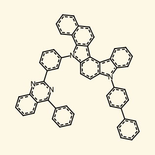 c1ccc(-c2ccc(-n3c4ccccc4c4c5c6ccc7ccccc7c6n(-c6cccc(-c7nc(-c8ccccc8)c8ccccc8n7)c6)c5ccc43)cc2)cc1